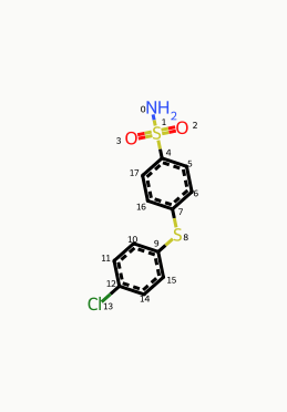 NS(=O)(=O)c1ccc(Sc2ccc(Cl)cc2)cc1